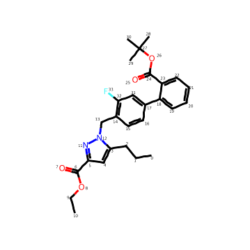 CCCc1cc(C(=O)OCC)nn1Cc1ccc(-c2ccccc2C(=O)OC(C)(C)C)cc1F